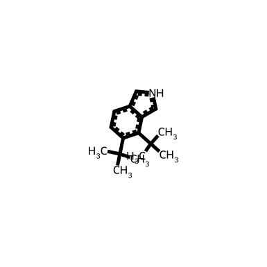 CC(C)(C)c1ccc2c[nH]cc2c1C(C)(C)C